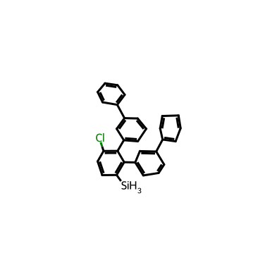 [SiH3]c1ccc(Cl)c(-c2cccc(-c3ccccc3)c2)c1-c1cccc(-c2ccccc2)c1